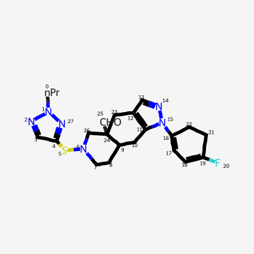 CCCn1ncc(SN2CCC3Cc4c(cnn4C4=CC=C(F)CC4)CC3(C=O)C2)n1